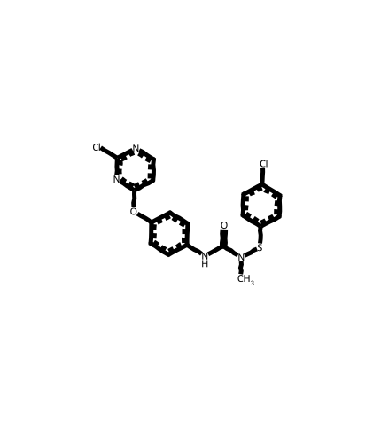 CN(Sc1ccc(Cl)cc1)C(=O)Nc1ccc(Oc2ccnc(Cl)n2)cc1